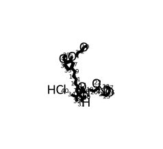 COCCCOc1cc(CCCCCCC(C(=O)NCCC(=O)N2CCOCC2)(C(C)C)C(C)C)ccc1OC.Cl